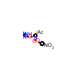 CC(=O)S[C@H]1C[C@@H](COCc2ncn[nH]2)N(C(=O)OCc2ccc([N+](=O)[O-])cc2)C1